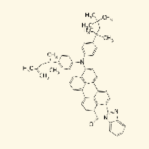 C=C(C)CC(C)(C)c1ccc(N(c2ccc(C(C)(C)CC(C)(C)C)cc2)c2ccc3c4ccc5c6c(ccc(c7cccc2c73)c46)c(=O)n2c3ccccc3nc52)cc1